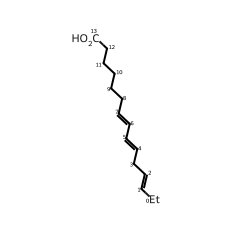 CCC=CCC=CC=CCCCCCC(=O)O